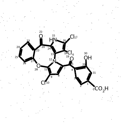 O=C(O)c1ccc(C(=O)c2cc(Cl)c3n2-c2c([nH]c(Cl)c2Cl)C(=O)c2ccccc2O3)c(O)c1